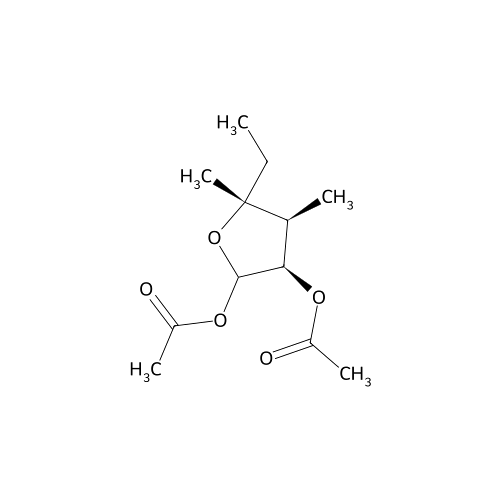 CC[C@@]1(C)OC(OC(C)=O)[C@H](OC(C)=O)[C@@H]1C